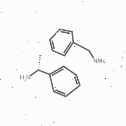 CNCc1ccccc1.C[C@@H](N)c1ccccc1